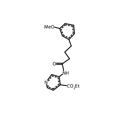 CCOC(=O)c1ccncc1NC(=O)CCCc1cccc(OC)c1